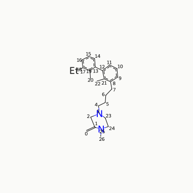 C=C1CN(CCCCc2cccc(-c3cccc(CC)c3C)c2C)CCN1C